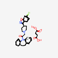 O=C(CN1CCC(c2noc3cc(F)ccc23)CC1)N1c2ccccc2CCc2ccccc21.O=C(O)C=CC(=O)O